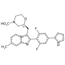 Cc1ccn2c(C[C@H]3CN(C(=O)O)CCO3)c(-c3c(F)cc(-c4ccc[nH]4)cc3F)nc2c1